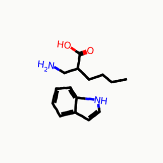 CCCCC(CN)C(=O)O.c1ccc2[nH]ccc2c1